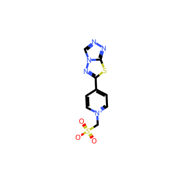 O=S(=O)([O-])C[n+]1ccc(-c2nn3cnnc3s2)cc1